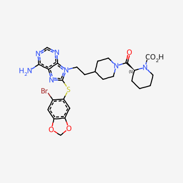 Nc1ncnc2c1nc(Sc1cc3c(cc1Br)OCO3)n2CCC1CCN(C(=O)[C@@H]2CCCCN2C(=O)O)CC1